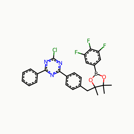 CC1(C)OB(c2cc(F)c(F)c(F)c2)OC1(C)Cc1ccc(-c2nc(Cl)nc(-c3ccccc3)n2)cc1